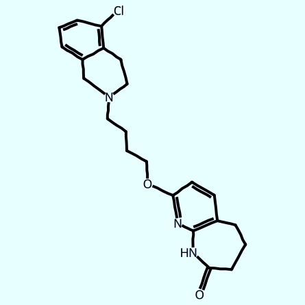 O=C1CCCc2ccc(OCCCCN3CCc4c(Cl)cccc4C3)nc2N1